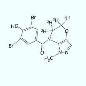 [2H]C1([2H])Oc2cnn(C)c2N(C(=O)c2cc(Br)c(O)c(Br)c2)C1([2H])[2H]